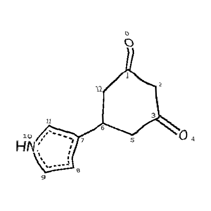 O=C1CC(=O)CC(c2cc[nH]c2)C1